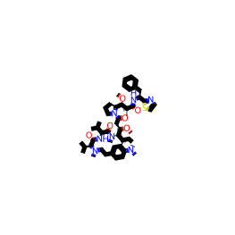 CC[C@H](C)[C@@H]([C@@H](CC(=O)N1CCC[C@H]1[C@H](OC)[C@@H](C)C(=O)N[C@@H](Cc1ccccc1)c1nccs1)OC)N(C)C(=O)[C@@H](NC(=O)[C@H](C(C)C)N(C)CCc1ccc(N(C)C)cc1)C(C)C